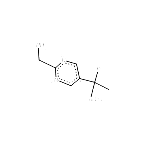 CCCCCCC(C)(CC)c1cnc(CN)nc1